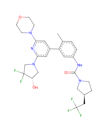 Cc1ccc(NC(=O)N2CC[C@@H](CC(F)(F)F)C2)cc1-c1cc(N2CCOCC2)nc(N2C[C@H](O)C(F)(F)C2)c1